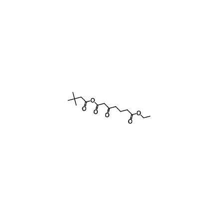 CCOC(=O)CCCC(=O)CC(=O)OC(=O)CC(C)(C)C